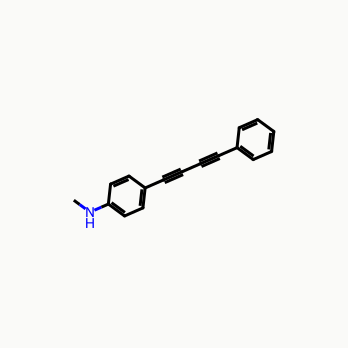 CNc1ccc(C#CC#Cc2ccccc2)cc1